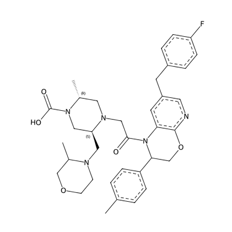 Cc1ccc(C2COc3ncc(Cc4ccc(F)cc4)cc3N2C(=O)CN2C[C@@H](C)N(C(=O)O)C[C@@H]2CN2CCOCC2C)cc1